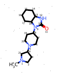 CN1CCC(N2CCC(N3C(=O)NC4CCCCC43)CC2)C1